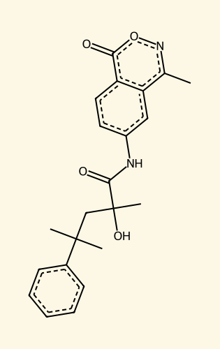 Cc1noc(=O)c2ccc(NC(=O)C(C)(O)CC(C)(C)c3ccccc3)cc12